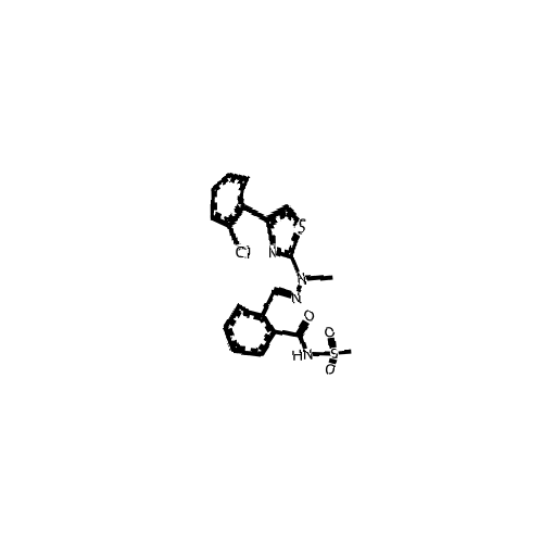 CN(N=Cc1ccccc1C(=O)NS(C)(=O)=O)c1nc(-c2ccccc2Cl)cs1